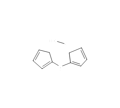 C1=CC[C]([V][C]2=CC=CC2)=C1.CCl